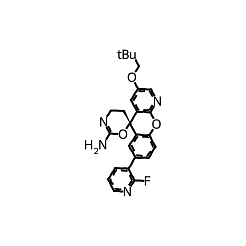 CC(C)(C)COc1cnc2c(c1)[C@]1(CCN=C(N)O1)c1cc(-c3cccnc3F)ccc1O2